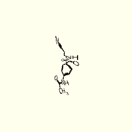 CC(=O)Nc1ccc(S(=O)(=O)NCCC#N)cc1